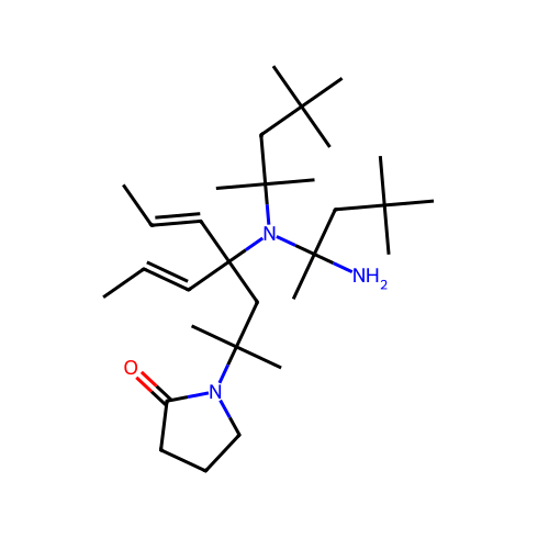 CC=CC(C=CC)(CC(C)(C)N1CCCC1=O)N(C(C)(C)CC(C)(C)C)C(C)(N)CC(C)(C)C